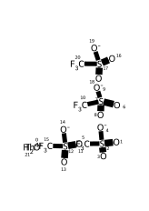 O.O=S(=O)([O-])C(F)(F)F.O=S(=O)([O-])C(F)(F)F.O=S(=O)([O-])C(F)(F)F.O=S(=O)([O-])C(F)(F)F.[Th+4]